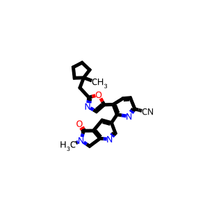 CN1Cc2ncc(-c3nc(C#N)ccc3-c3cnc(CC4(C)CCCC4)o3)cc2C1=O